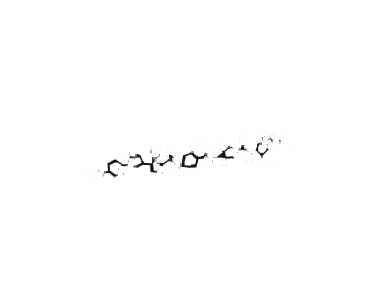 Cn1c(-c2cn(-c3ccc(N)cn3)nc2C(F)(F)F)cnc1C(=O)Nc1ccc(C(=O)N[C@H]2[C@@H]3CN(C(=O)N[C@@H]4C[N+](C)(C)C[C@H]4O)C[C@@H]32)c(Cl)c1